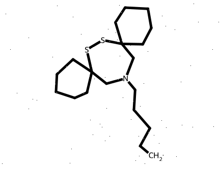 [CH2]CCCCN1CC2(CCCCC2)SSC2(CCCCC2)C1